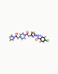 O=C(Nc1nc(CC(=O)N2CCN(CC(=O)N3CCSC3)CC2)cs1)c1ccc(Cl)cc1